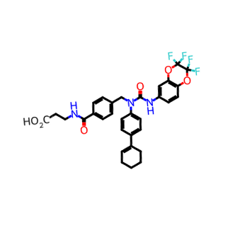 O=C(O)CCNC(=O)c1ccc(CN(C(=O)Nc2ccc3c(c2)OC(F)(F)C(F)(F)O3)c2ccc(C3=CCCCC3)cc2)cc1